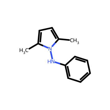 Cc1ccc(C)n1Nc1ccccc1